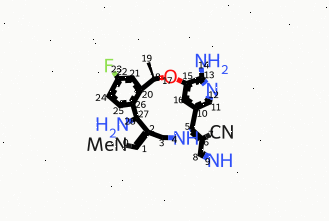 CN/C=C1/CN/C(=C(/C#N)C=N)c2cnc(N)c(c2)O[C@H](C)c2cc(F)ccc2C1N